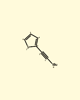 CC(C)(C)C#Cc1cccs1